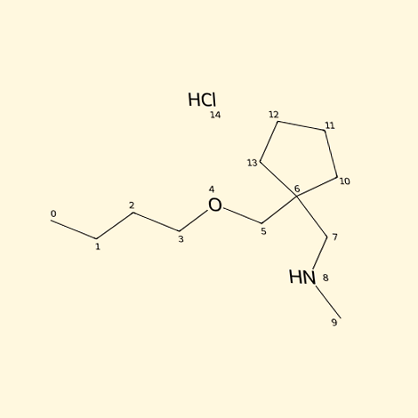 CCCCOCC1(CNC)CCCC1.Cl